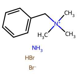 Br.C[N+](C)(C)Cc1ccccc1.N.[Br-]